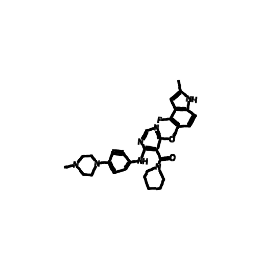 Cc1cc2c(F)c(Oc3ncnc(Nc4c#cc(N5CCN(C)CC5)cc4)c3C(=O)N3CCCCC3)ccc2[nH]1